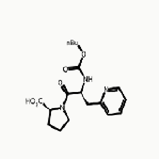 CCCCOC(=O)N[C@@H](Cc1ccccn1)C(=O)N1CCC[C@H]1C(=O)O